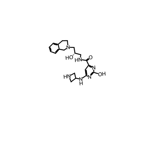 O=C(NC[C@H](O)CN1CCc2ccccc2C1)c1cc(NC2CNC2)nc(O)n1